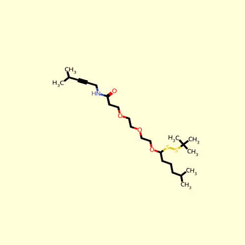 CC(C)C#CCNC(=O)CCOCCOCCOC(CCCC(C)C)SSC(C)(C)C